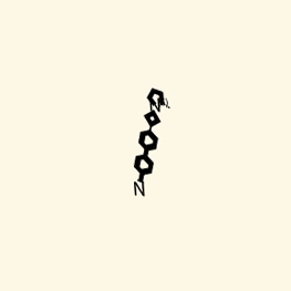 C[C@H]1CCCN1[C@H]1C[C@H](c2ccc(-c3ccc(C#N)cc3)cc2)C1